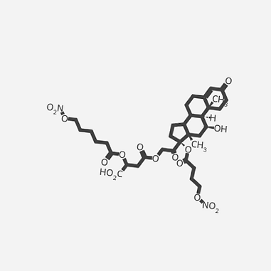 C[C@]12CCC(=O)C=C1CCC1C3CC[C@](OC(=O)CCCO[N+](=O)[O-])(C(=O)COC(=O)CC(OC(=O)CCCCCO[N+](=O)[O-])C(=O)O)[C@@]3(C)C[C@H](O)[C@@H]12